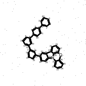 c1ccc(-c2ccc(-c3cccc(-c4cccc(-c5ccc6c(c5)c5cccc7c5n6-c5ccccc5O7)c4)c3)cc2)cc1